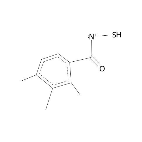 Cc1ccc(C(=O)[N+]S)c(C)c1C